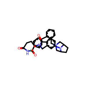 O=C1CCC(N2Cc3cc(N4C5CCC4CN(Cc4ccccc4-c4ccc(Cl)cc4)C5)ccc3C2=O)C(=O)N1